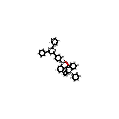 c1ccc(-c2cc(-c3ccc(N4c5ccccc5C5(c6ccccc6N(c6ccccc6)c6ccccc65)c5ccccc54)cc3)nc(-c3cccnc3)n2)cc1